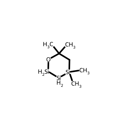 CC1(C)C[Si](C)(C)[SiH2][SiH2]O1